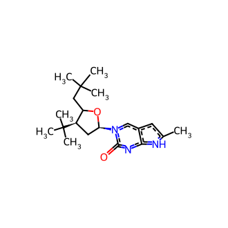 Cc1cc2cn([C@H]3C[C@@H](C(C)(C)C)C(CC(C)(C)C)O3)c(=O)nc2[nH]1